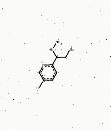 CCC(C)CC(NN)c1ccc(Br)cn1